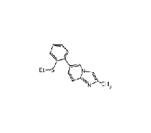 CCSc1ccccc1-c1ccc2nc(C)cn2c1